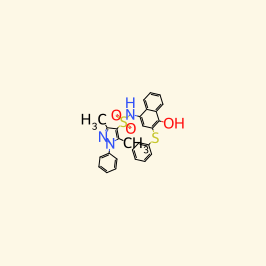 Cc1nn(-c2ccccc2)c(C)c1S(=O)(=O)Nc1cc(Sc2ccccc2)c(O)c2ccccc12